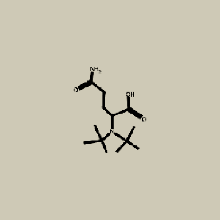 CC(C)(C)N(C(CCC(N)=O)C(=O)O)C(C)(C)C